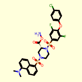 CN(C)c1cccc2c(S(=O)(=O)N3CCN(S(=O)(=O)c4cc(F)c(Oc5ccc(Cl)cc5)c(F)c4)[C@@H](C(=O)ON)C3)cccc12